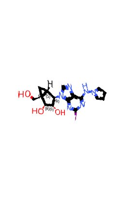 OC[C@@]12C[C@@H]1[C@@H](n1cnc3c(Nn4cccc4)nc(I)nc31)[C@H](O)[C@@H]2O